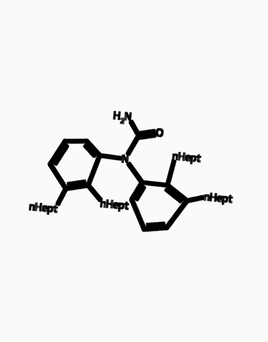 CCCCCCCc1cccc(N(C(N)=O)c2cccc(CCCCCCC)c2CCCCCCC)c1CCCCCCC